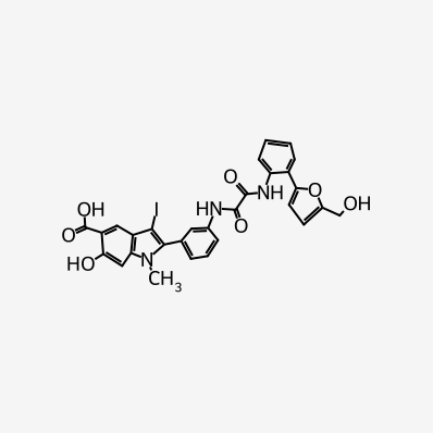 Cn1c(-c2cccc(NC(=O)C(=O)Nc3ccccc3-c3ccc(CO)o3)c2)c(I)c2cc(C(=O)O)c(O)cc21